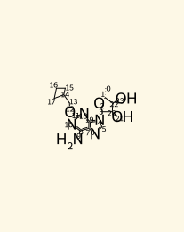 C[C@H]1O[C@@H](n2cnc3c(N)nc(OCC4CCC4)nc32)[C@H](O)[C@@H]1O